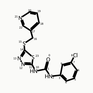 O=C(Nc1cccc(Cl)c1)Nc1nnc(SCc2cccnc2)s1